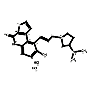 CN(C)C1CCN(CC=Cc2c(O)ccc3[nH]c(=O)c4sccc4c23)C1.Cl.Cl